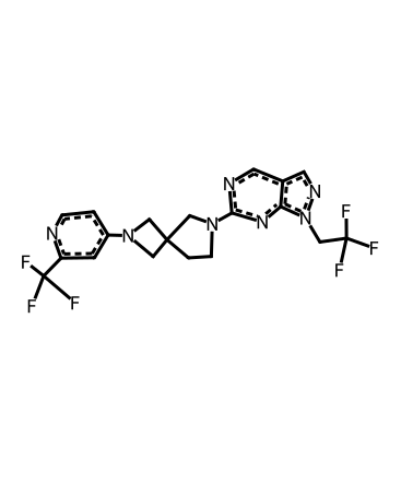 FC(F)(F)Cn1ncc2cnc(N3CCC4(CN(c5ccnc(C(F)(F)F)c5)C4)C3)nc21